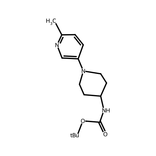 Cc1ccc(N2CCC(NC(=O)OC(C)(C)C)CC2)cn1